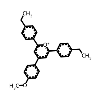 CCc1ccc(-c2cc(-c3ccc(OC)cc3)cc(-c3ccc(CC)cc3)[o+]2)cc1